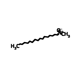 CCCCCCCCCCCCCCCCC=[N+](C)[O-]